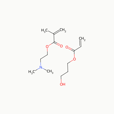 C=C(C)C(=O)OCCN(C)C.C=CC(=O)OCCCO